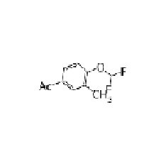 CC(=O)c1ccc(OC(F)F)c(C)c1